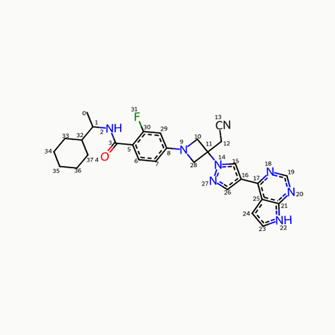 CC(NC(=O)c1ccc(N2CC(CC#N)(n3cc(-c4ncnc5[nH]ccc45)cn3)C2)cc1F)C1CCCCC1